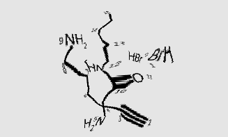 Br.Br.C#CC(N)(CCCN)C(=O)NCCC